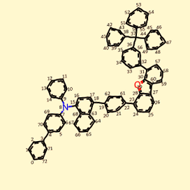 c1ccc(-c2ccc(N(c3ccccc3)c3ccc(-c4ccc(-c5cccc6c5oc5c(-c7cccc(C(c8ccccc8)(c8ccccc8)c8ccccc8)c7)cccc56)cc4)c4ccccc34)cc2)cc1